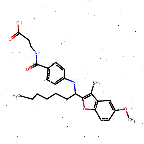 CCCCCCC(Nc1ccc(C(=O)NCCC(=O)O)cc1)c1oc2ccc(OC)cc2c1C